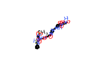 CS(=O)(=O)n1ccc(C(=O)N[C@@H](CCOCCCC(=O)N2CC3(CCN(CCCNc4ccc5c(c4)C(=O)N(C4CCC(=O)NC4=O)C5=O)CC3)C2)C(=O)Nc2nc(-c3ccccc3)cs2)c1